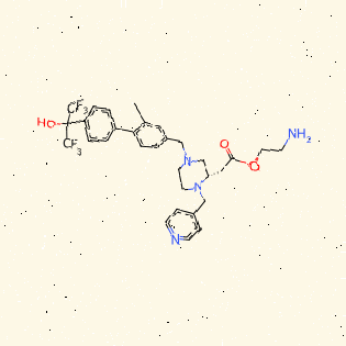 Cc1cc(CN2CCN(Cc3ccncc3)[C@@H](CC(=O)OCCN)C2)ccc1-c1ccc(C(O)(C(F)(F)F)C(F)(F)F)cc1